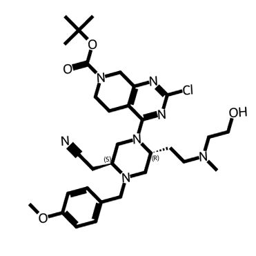 COc1ccc(CN2C[C@@H](CCN(C)CCO)N(c3nc(Cl)nc4c3CCN(C(=O)OC(C)(C)C)C4)C[C@@H]2CC#N)cc1